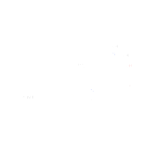 CCOC(=O)c1c(C[S+]([O-])c2ccc(NC(C)=O)cc2)n(C2CC2)c2cc(Br)c(O)c(CN(C)C)c12